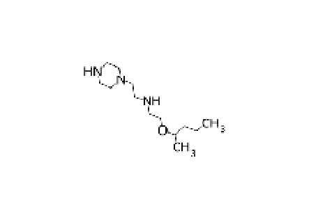 CCCC(C)OCCNCCN1CCNCC1